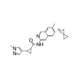 Cc1cc2cnc(NC(=O)C3CC3c3cnn(C)c3)cc2cc1[C@@H]1CC12CC2